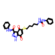 O=C(NCCCCCSC1=CC(=O)c2[nH]nc(C(=O)Nc3ccccc3)c2C1=O)Nc1ccccc1